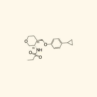 CCS(=O)(=O)N[C@@H]1COCC[C@H]1COc1ccc(C2CC2)cc1